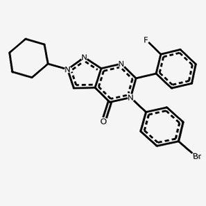 O=c1c2cn(C3CCCCC3)nc2nc(-c2ccccc2F)n1-c1ccc(Br)cc1